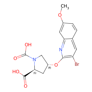 COc1ccc2cc(Br)c(O[C@@H]3C[C@@H](C(=O)O)N(C(=O)O)C3)nc2c1